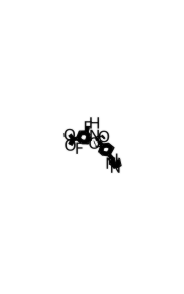 COC(=O)c1cc(F)c(NS(=O)(=O)c2ccc(-n3ccnn3)cc2)cc1F